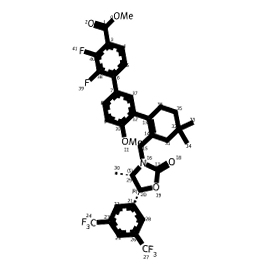 COC(=O)c1ccc(-c2ccc(OC)c(C3=C(CN4C(=O)O[C@H](c5cc(C(F)(F)F)cc(C(F)(F)F)c5)[C@@H]4C)CC(C)(C)CC3)c2)c(F)c1F